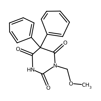 COCN1C(=O)NC(=O)C(c2ccccc2)(c2ccccc2)C1=O